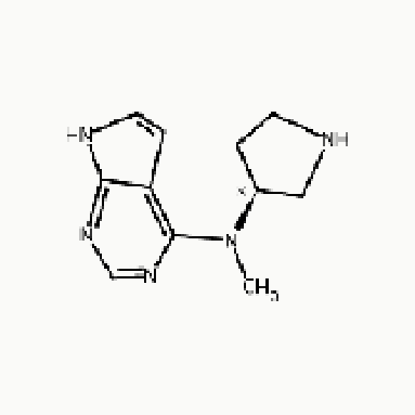 CN(c1ncnc2[nH]ccc12)[C@H]1CCNC1